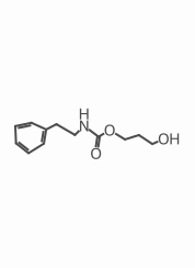 O=C(NCCc1ccccc1)OCCCO